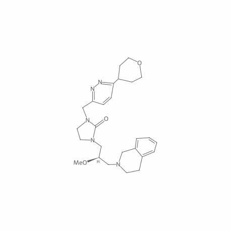 CO[C@H](CN1CCc2ccccc2C1)CN1CCN(Cc2ccc(C3CCOCC3)nn2)C1=O